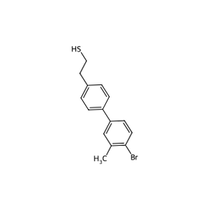 Cc1cc(-c2ccc(CCS)cc2)ccc1Br